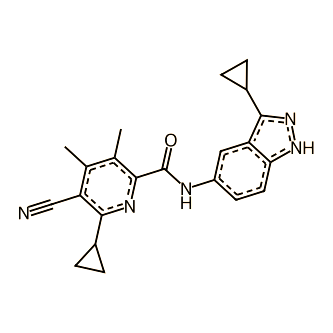 Cc1c(C(=O)Nc2ccc3[nH]nc(C4CC4)c3c2)nc(C2CC2)c(C#N)c1C